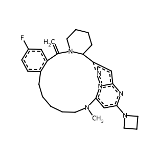 C=C1c2cc(F)ccc2CCCCCN(C)c2cc(N3CCC3)nc3cc(nn23)C2CCCCN12